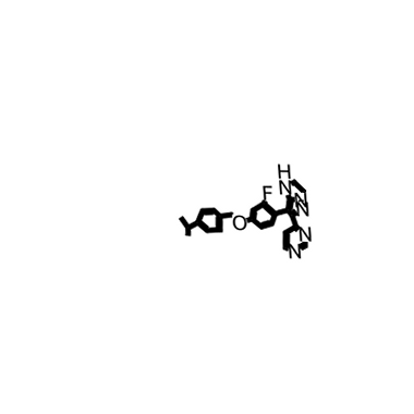 CC(C)c1ccc(COc2ccc(-c3c(-c4ccncn4)nn4c3NCC4)c(F)c2)cc1